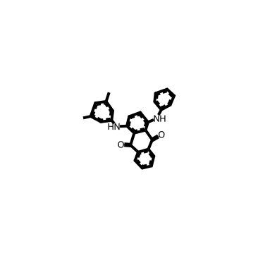 Cc1cc(C)cc(Nc2ccc(Nc3ccccc3)c3c2C(=O)c2ccccc2C3=O)c1